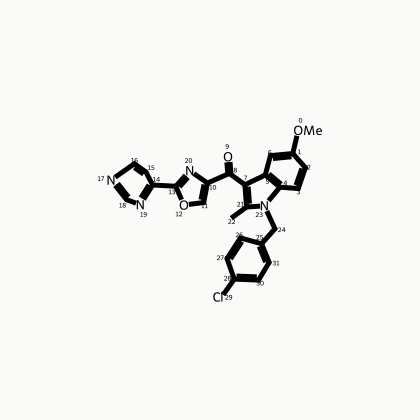 COc1ccc2c(c1)c(C(=O)c1coc(-c3ccncn3)n1)c(C)n2Cc1ccc(Cl)cc1